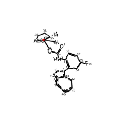 O=C(NC1=C(c2csc3ccccc23)CC(F)C=C1)O[C@H]1C[N@]2CC[C@H]1CC2